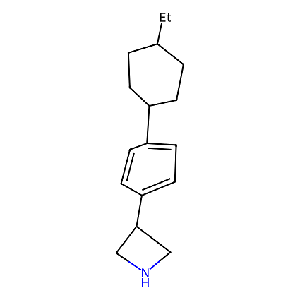 CCC1CCC(c2ccc(C3CNC3)cc2)CC1